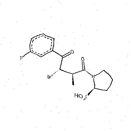 C[C@H](C(=O)N1CCC[C@H]1C(=O)O)[C@H](Br)C(=O)c1cccc(F)c1